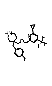 Fc1ccc(CC2(COCc3cc(C(F)(F)F)cc(C4CC4)n3)CCNCC2)cc1